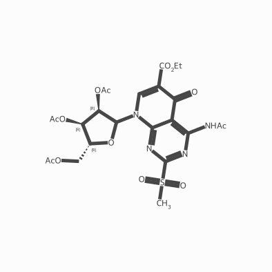 CCOC(=O)c1cn(C2O[C@H](COC(C)=O)[C@@H](OC(C)=O)[C@H]2OC(C)=O)c2nc(S(C)(=O)=O)nc(NC(C)=O)c2c1=O